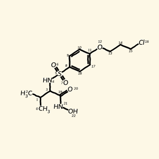 CC(C)C(NS(=O)(=O)c1ccc(OCCCCl)cc1)C(=O)NO